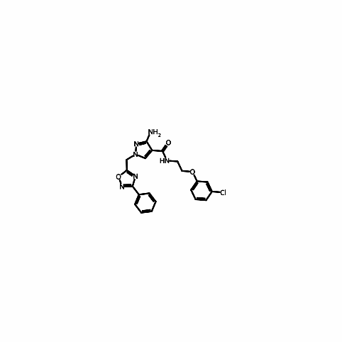 Nc1nn(Cc2nc(-c3ccccc3)no2)cc1C(=O)NCCOc1cccc(Cl)c1